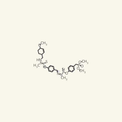 COC1C=CC(CNN(C)[PH](=S)Oc2ccc(/C=N/N(C)[PH](=S)Oc3ccc(CP(=O)(OC)OC)cc3)cc2)CC1